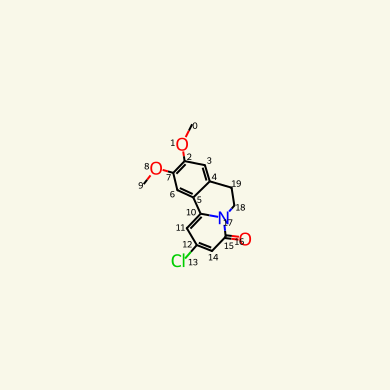 COc1cc2c(cc1OC)-c1cc(Cl)cc(=O)n1CC2